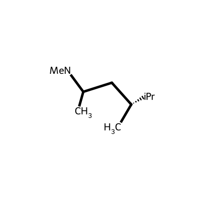 CNC(C)C[C@@H](C)C(C)C